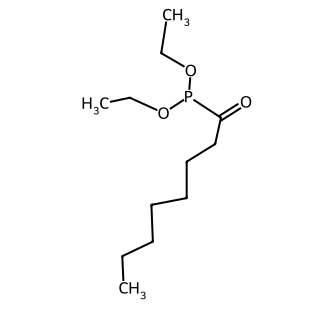 CCCCCCCC(=O)P(OCC)OCC